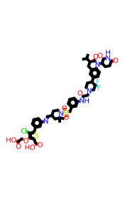 CC(C)C1Cc2cc(C3CCN(CC(=O)Nc4cccc(CS(=O)(=O)N5CCC(/C=N/c6cccc(-c7sc(C(=O)O)c(OCC(=O)O)c7Cl)c6)CC5(C)C)c4)CC3(F)F)ccc2N(C2CCC(=O)NC2=O)C1=O